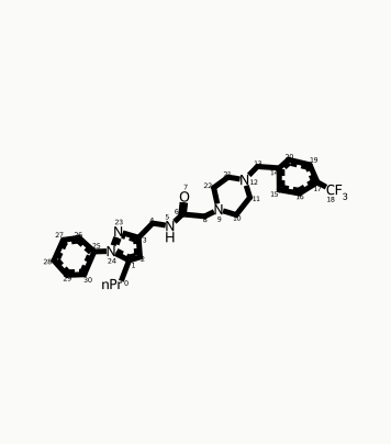 CCCc1cc(CNC(=O)CN2CCN(Cc3ccc(C(F)(F)F)cc3)CC2)nn1-c1ccccc1